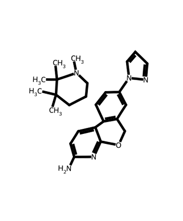 CN1CCCC(C)(C)C1(C)C.Nc1ccc2c(n1)OCc1cc(-n3cccn3)ccc1-2